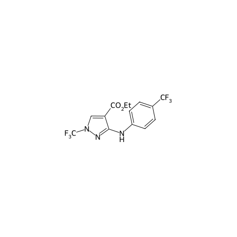 CCOC(=O)c1cn(C(F)(F)F)nc1Nc1ccc(C(F)(F)F)cc1